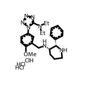 CCN(CC)c1nnnn1-c1ccc(OC)c(CN[C@H]2CCCN[C@H]2c2ccccc2)c1.Cl.Cl.Cl